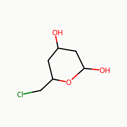 OC1CC(O)OC(CCl)C1